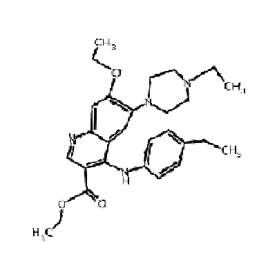 CCOC(=O)c1cnc2cc(OCC)c(N3CCN(CC)CC3)cc2c1Nc1ccc(CC)cc1